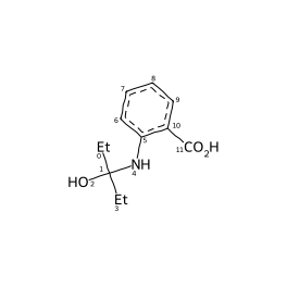 CCC(O)(CC)Nc1ccccc1C(=O)O